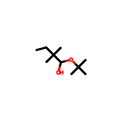 CCC(C)(C)C(O)OC(C)(C)C